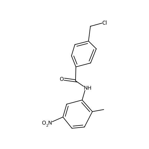 Cc1ccc([N+](=O)[O-])cc1NC(=O)c1ccc(CCl)cc1